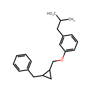 CC(Cc1cccc(OCC2CC2Cc2ccccc2)c1)C(=O)O